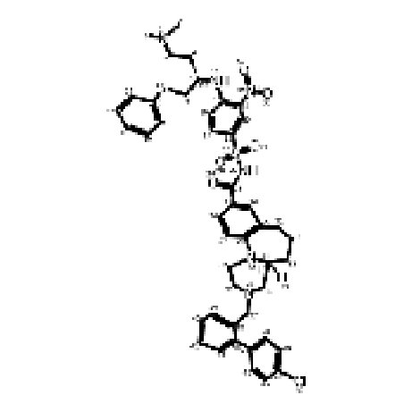 CN(C)CC[C@H](CSc1ccccc1)Nc1ccc(S(=O)(=O)NC(=O)c2ccc3c(c2)CCC[C@@H]2CN(Cc4ccccc4-c4ccc(Cl)cc4)CCN32)cc1[N+](=O)[O-]